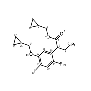 CC(C)CC(C(=O)OCC1CC1)c1cc(OCC2CC2)c(I)cc1F